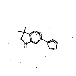 CC1(C)CNc2cc(C3=C=CC=C3)ncc21